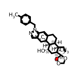 Cc1ccc(Cn2ncc3c2C=C2CC[C@@H]4[C@H]([C@@H](O)C[C@@]5(C)[C@H]4CC[C@@]54OCOC45COCO5)[C@@]2(C)C3)cc1